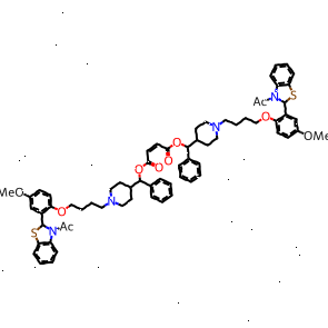 COc1ccc(OCCCCN2CCC(C(OC(=O)/C=C\C(=O)OC(c3ccccc3)C3CCN(CCCCOc4ccc(OC)cc4C4Sc5ccccc5N4C(C)=O)CC3)c3ccccc3)CC2)c(C2Sc3ccccc3N2C(C)=O)c1